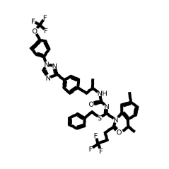 Cc1ccc(C(C)C)c(N(C(=O)CCC(F)(F)F)/C(=N/C(=O)NC(C)Cc2ccc(-c3ncn(-c4ccc(OC(F)(F)F)cc4)n3)cc2)SCc2ccccc2)c1